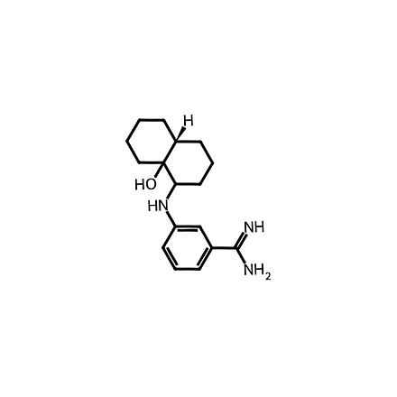 N=C(N)c1cccc(NC2CCC[C@H]3CCCCC23O)c1